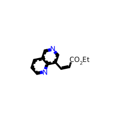 CCOC(=O)/C=C\c1cncc2cccnc12